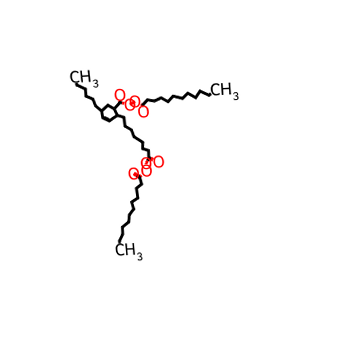 CCCCCCCCCCCC(=O)OOC(=O)CCCCCCCC1C=CC(CCCCCC)CC1C(=O)OOC(=O)CCCCCCCCCCC